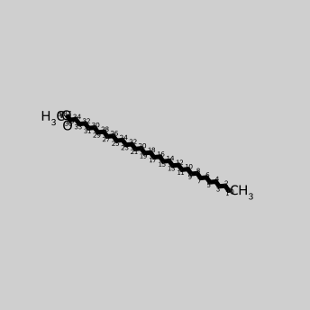 CCCCCCCCCCCCCCCCCCCCCCCCCCCCCCCCCCCC(=O)OC